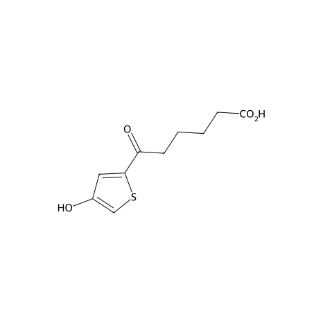 O=C(O)CCCCC(=O)c1cc(O)cs1